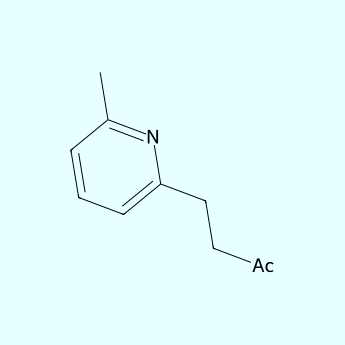 CC(=O)CCc1cccc(C)n1